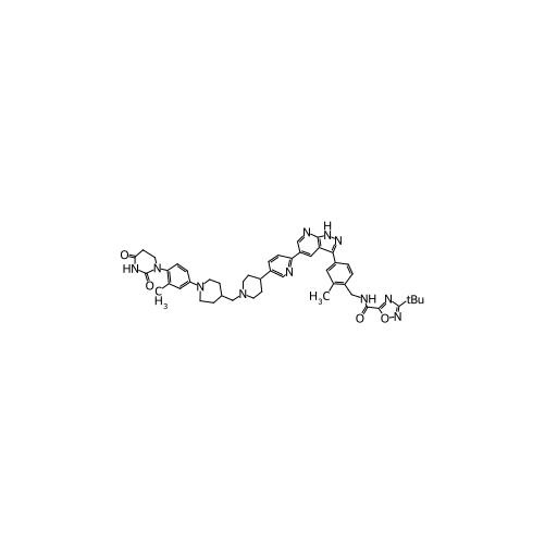 Cc1cc(-c2n[nH]c3ncc(-c4ccc(C5CCN(CC6CCN(c7ccc(N8CCC(=O)NC8=O)c(C)c7)CC6)CC5)cn4)cc23)ccc1CNC(=O)c1nc(C(C)(C)C)no1